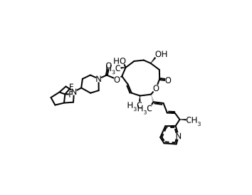 C/C(=C\C=C\[C@@H](C)c1ccccn1)[C@H]1OC(=O)C[C@H](O)CC[C@@](C)(O)[C@@H](OC(=O)N2CCC(N3CC4CCC(C3)C4(F)F)CC2)/C=C/[C@@H]1C